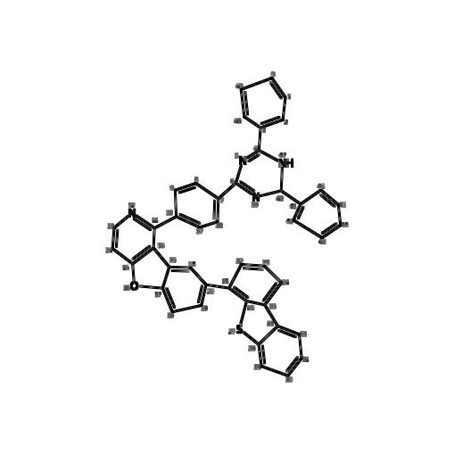 c1ccc(C2=NC(c3ccc(-c4nccc5oc6ccc(-c7cccc8c7sc7ccccc78)cc6c45)cc3)=NC(c3ccccc3)N2)cc1